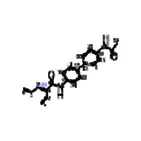 C=C/C=C(\C=C)C(=O)Nc1ccc(-c2ccc(NC(C)=O)cc2)cc1